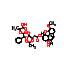 COc1ccc2c3c1O[C@@H]1C(OC(=O)C[C@H](OC(C)=O)C(=O)O[C@H](C(=O)O[C@@H](C)C(=O)O)c4ccccc4)=CC[C@]4(O)[C@@H](CCC[C@@]314)C2